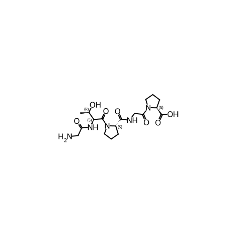 C[C@@H](O)[C@H](NC(=O)CN)C(=O)N1CCC[C@H]1C(=O)NCC(=O)N1CCC[C@H]1C(=O)O